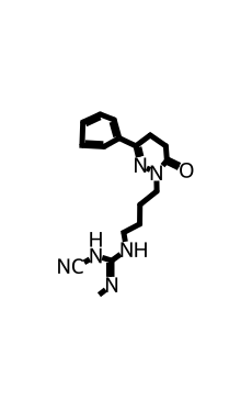 C/N=C(\NC#N)NCCCCN1N=C(c2ccccc2)CCC1=O